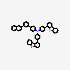 c1cc(-c2ccc(N(c3ccc(-c4cccc5c4sc4ccccc45)cc3)c3ccc(-c4cccc5oc6ccccc6c45)cc3)cc2)cc(-c2ccc3ccccc3c2)c1